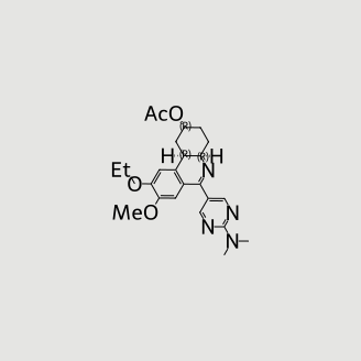 CCOc1cc2c(cc1OC)C(c1cnc(N(C)C)nc1)=N[C@@H]1CC[C@@H](OC(C)=O)C[C@H]21